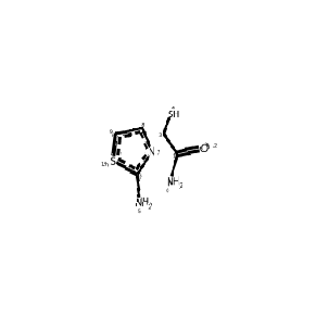 NC(=O)CS.Nc1nccs1